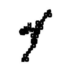 C=CC(=O)OCCCCCCOc1ccc(C(=O)Oc2ccc(OC(=O)C(=O)OCCCCOC(=O)C=C)c(/C=N/Nc3nc4ccccc4s3)c2)cc1